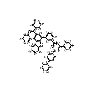 c1ccc(-c2ccc(-c3cc(-c4ccccc4)nc(-c4cccc(-c5cc6c(-c7ccccc7)nc7ccccc7c6c6c5oc5ccccc56)c4)n3)cc2)cc1